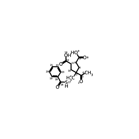 CC(=O)C(C)(CCC(=O)O)CCC(=O)O.O=C(S)c1ccccc1